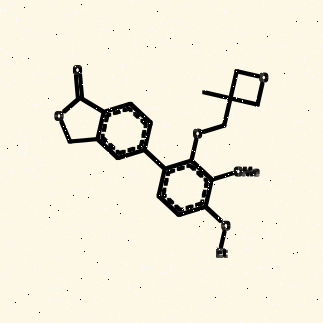 CCOc1ccc(-c2ccc3c(c2)COC3=O)c(OCC2(C)COC2)c1OC